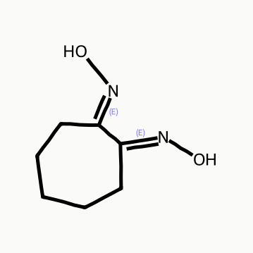 O/N=C1\CCCCC\C1=N/O